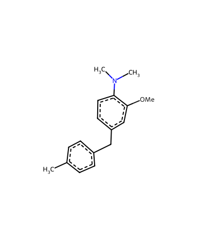 COc1cc(Cc2ccc(C)cc2)ccc1N(C)C